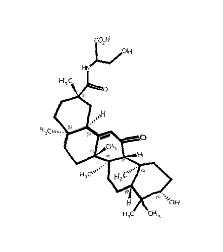 CC1(C)[C@@H](O)CC[C@]2(C)[C@H]3C(=O)C=C4[C@@H]5C[C@@](C)(C(=O)NC(CO)C(=O)O)CC[C@]5(C)CC[C@@]4(C)[C@]3(C)CC[C@@H]12